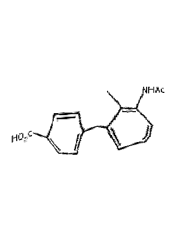 CC(=O)Nc1cccc(-c2ccc(C(=O)O)cc2)c1C